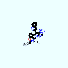 C=CC(=O)N(C)[C@@H]1Cn2c(c(-c3cnc4ccccc4c3)c3c(N)ncnc32)-c2ccccc21